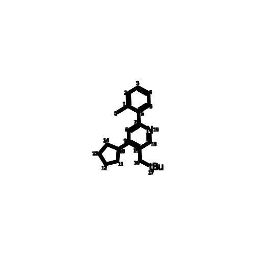 Cc1ccccc1-c1cc(C2CCCC2)c(CC(C)(C)C)cn1